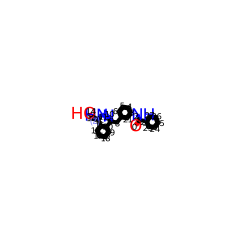 O=C(Nc1cccc(CC2=NN/C(=C\O)c3ccccc32)c1)c1ccccc1